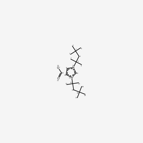 CC(C)(C)CC(C)(C)n1cc[n+](C(C)(C)CC(C)(C)C)c1.O=C[O-]